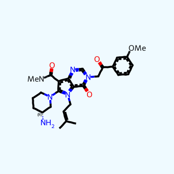 CNC(=O)c1c(N2CCC[C@@H](N)C2)n(CC=C(C)C)c2c(=O)n(CC(=O)c3cccc(OC)c3)cnc12